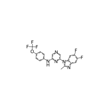 Cc1nc2cc(F)c(F)cc2n1-c1cncc(Nc2ccc(OC(F)(F)F)cc2)n1